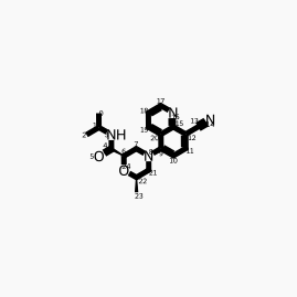 CC(C)NC(=O)[C@H]1CN(c2ccc(C#N)c3ncccc23)C[C@@H](C)O1